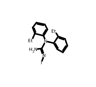 CCc1ccccc1N(C(N)=NI)c1ccccc1CC